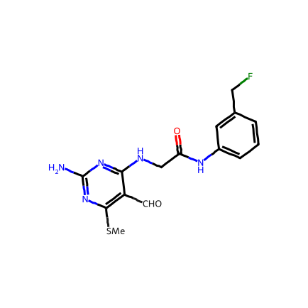 CSc1nc(N)nc(NCC(=O)Nc2cccc(CF)c2)c1C=O